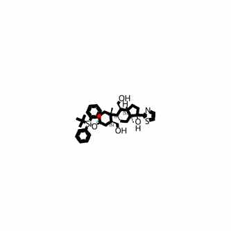 CC(C)(C)[Si](O[C@H]1CC[C@](C)([C@H]2CC[C@@]3(C)[C@@H](CC[C@@]3(O)c3nccs3)[C@@H]2CO)[C@@H](CO)C1)(c1ccccc1)c1ccccc1